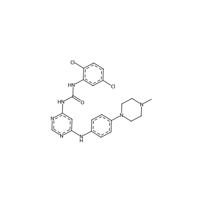 CN1CCN(c2ccc(Nc3cc(NC(=O)Nc4cc(Cl)ccc4Cl)ncn3)cc2)CC1